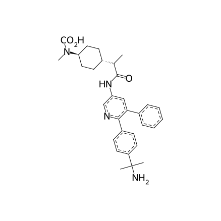 CC(C(=O)Nc1cnc(-c2ccc(C(C)(C)N)cc2)c(-c2ccccc2)c1)[C@H]1CC[C@H](N(C)C(=O)O)CC1